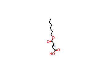 CCCCCCOC(=O)/C=C/C(=O)O